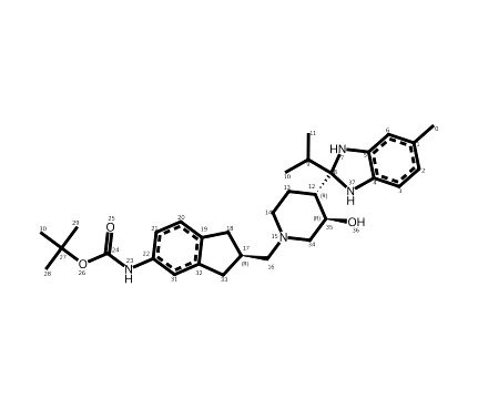 Cc1ccc2c(c1)NC(C(C)C)([C@H]1CCN(C[C@@H]3Cc4ccc(NC(=O)OC(C)(C)C)cc4C3)C[C@@H]1O)N2